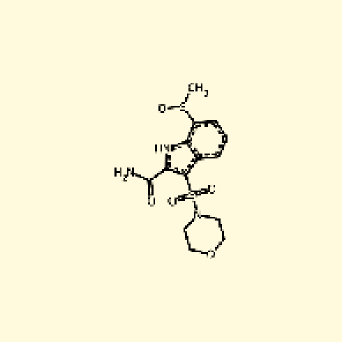 C[S+]([O-])c1cccc2c(S(=O)(=O)N3CCOCC3)c(C(N)=O)[nH]c12